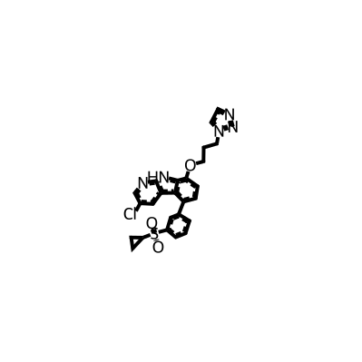 O=S(=O)(c1cccc(-c2ccc(OCCCn3ccnn3)c3[nH]c4ncc(Cl)cc4c23)c1)C1CC1